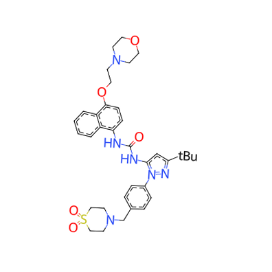 CC(C)(C)c1cc(NC(=O)Nc2ccc(OCCN3CCOCC3)c3ccccc23)n(-c2ccc(CN3CCS(=O)(=O)CC3)cc2)n1